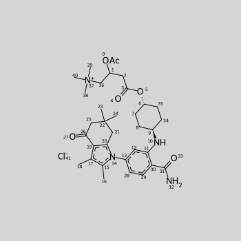 CC(=O)OC(CC(=O)O[C@H]1CC[C@H](Nc2cc(-n3c(C)c(C)c4c3CC(C)(C)CC4=O)ccc2C(N)=O)CC1)C[N+](C)(C)C.[Cl-]